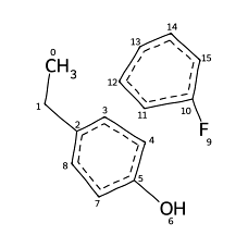 CCc1ccc(O)cc1.Fc1ccccc1